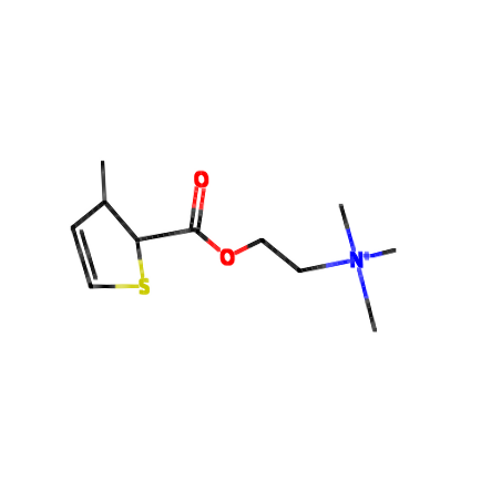 CC1C=CSC1C(=O)OCC[N+](C)(C)C